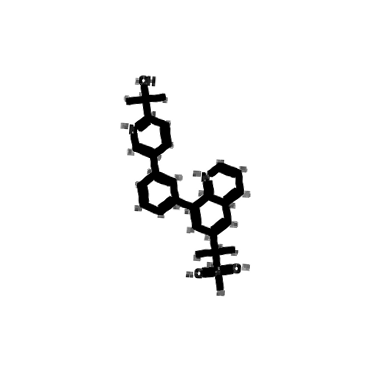 CC(C)(O)c1ccc(-c2cccc(-c3cc(C(C)(C)S(C)(=O)=O)cc4cccnc34)c2)cn1